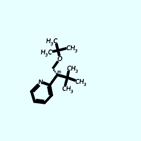 CC(C)(C)OC[C@@H](c1ccccn1)C(C)(C)C